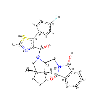 Cc1nc(C(=O)N2C[C@H]3CCC[C@H]3C2CN2C(=O)c3ccccc3C2=O)c(-c2ccc(F)cc2)s1